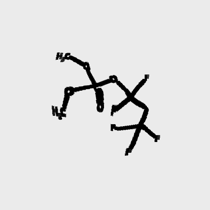 COP(=O)(OC)OC(F)(F)CC(F)(F)F